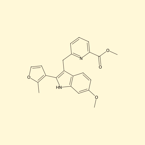 COC(=O)c1cccc(Cc2c(-c3ccoc3C)[nH]c3cc(OC)ccc23)n1